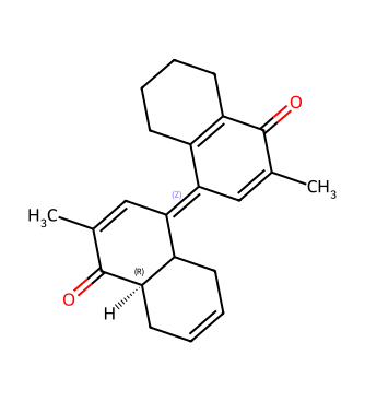 CC1=C/C(=C2/C=C(C)C(=O)[C@@H]3CC=CCC23)C2=C(CCCC2)C1=O